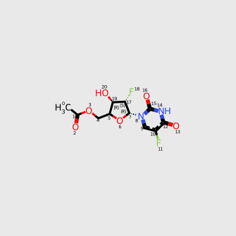 CC(=O)OC[C]1O[C@@H](n2cc(F)c(=O)[nH]c2=O)[C@@H](F)[C@@H]1O